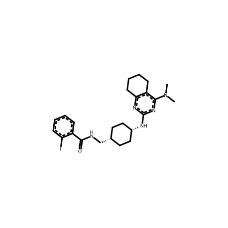 CN(C)c1nc(N[C@H]2CC[C@@H](CNC(=O)c3ccccc3I)CC2)nc2c1CCCC2